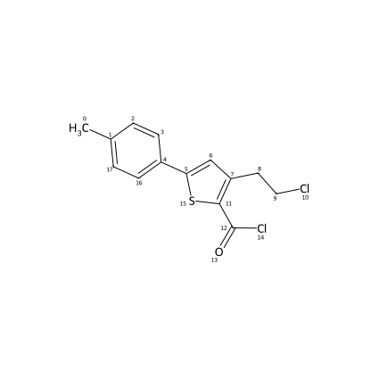 Cc1ccc(-c2cc(CCCl)c(C(=O)Cl)s2)cc1